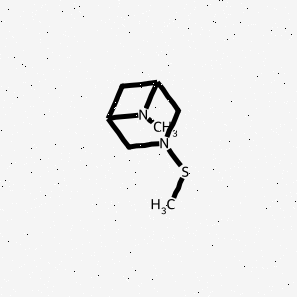 CSN1CC2CC(C1)N2C